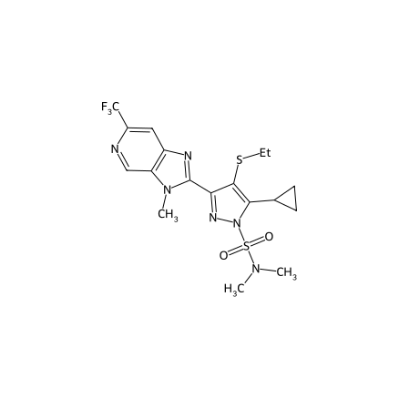 CCSc1c(-c2nc3cc(C(F)(F)F)ncc3n2C)nn(S(=O)(=O)N(C)C)c1C1CC1